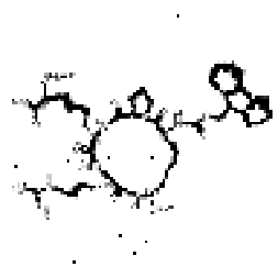 COC(=O)[C@H](CC=CC[C@@H]1NC(=O)C2CCCN2C(=O)[C@@H](NC(=O)OCC2c3ccccc3-c3ccccc32)CCCCC[C@@H](C(=O)O)NC(=O)[C@H](CCCNC(=N)N)NC1=O)NC(C)=O